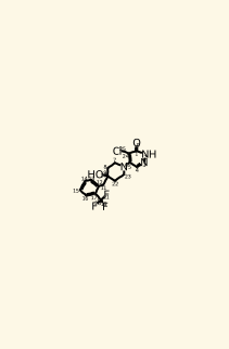 O=c1[nH]ncc(N2CCC(O)(Cc3ccccc3C(F)(F)F)CC2)c1Cl